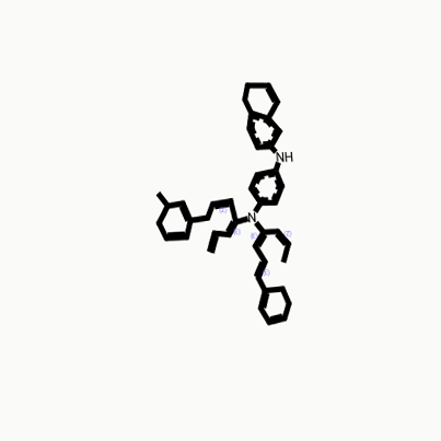 C=C/C=C(\C=C/CC1=CC(C)CC=C1)N(C(/C=C\C)=C/C=C/C1=CC=CCC1)c1ccc(Nc2ccc3c(c2)C=CCC3)cc1